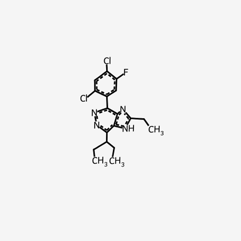 CCc1nc2c(-c3cc(F)c(Cl)cc3Cl)nnc(C(CC)CC)c2[nH]1